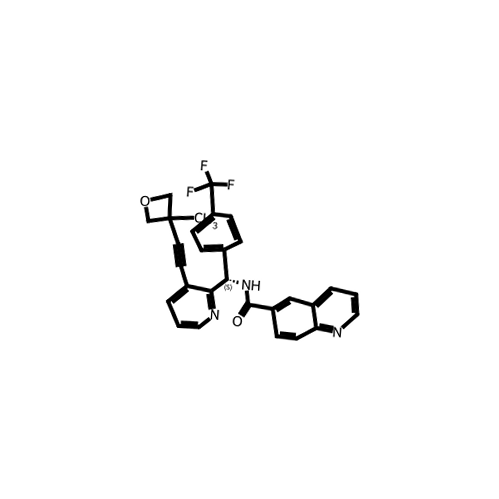 CC1(C#Cc2cccnc2[C@@H](NC(=O)c2ccc3ncccc3c2)c2ccc(C(F)(F)F)cc2)COC1